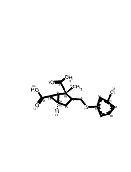 C[C@@]1(C(=O)O)C(CSc2cccc(Cl)c2)C[C@H]2C(C(=O)O)C21